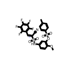 COc1ccc(NS(=O)(=O)/C(C#N)=C/c2c(F)c(F)c(F)c(F)c2F)cc1OS(=O)(=O)c1ccc(C)cc1